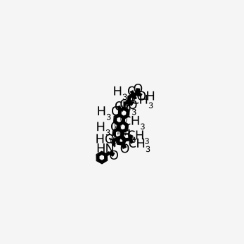 CC(C)C1=C2[C@H]3CCC4[C@@]5(C)CC[C@H](OC(=O)CC(C)(C)C(=O)O)C(C)(C)C5CC[C@@]4(C)[C@]3(C)CC[C@@]2([C@H](O)CNC(=O)C2CCCCC2)CC1=O